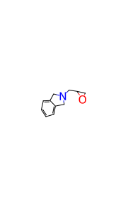 c1ccc2c(c1)CN(CC1CO1)C2